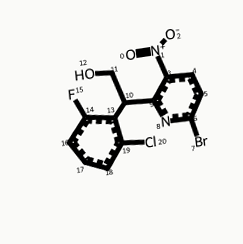 O=[N+]([O-])c1ccc(Br)nc1C(CO)c1c(F)cccc1Cl